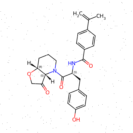 C=C(C)c1ccc(C(=O)N[C@@H](Cc2ccc(O)cc2)C(=O)N2CCC[C@H]3OCC(=O)[C@H]32)cc1